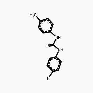 Cc1ccc(NC(=O)Nc2ccc(F)cc2)cc1